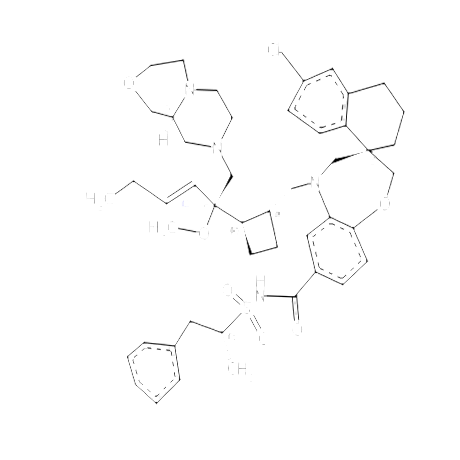 CC/C=C/[C@@](CN1CCN2CCOC[C@@H]2C1)(OC)[C@@H]1CC[C@H]1CN1C[C@@]2(CCCc3cc(Cl)ccc32)COc2ccc(C(=O)NS(=O)(=O)[C@H](C)Cc3ccccc3)cc21